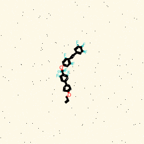 C=CCOc1ccc(-c2cc(F)c(C(F)(F)Oc3cc(F)c(C#CC4=CC(F)C(F)C(F)=C4)c(F)c3)c(F)c2)cc1